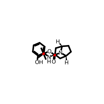 CC(C)(C)OC(=O)N1[C@@H]2CC[C@H]1C[C@H](Nc1ccccc1O)C2